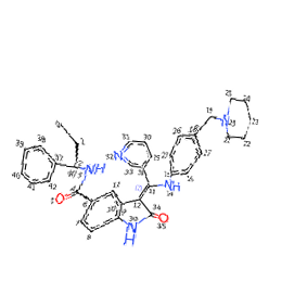 CC[C@@H](NC(=O)c1ccc2c(c1)/C(=C(/Nc1ccc(CN3CCCCC3)cc1)c1cccnc1)C(=O)N2)c1ccccc1